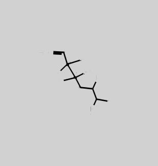 C=CC(F)(F)C(F)(F)CC(F)C(F)F